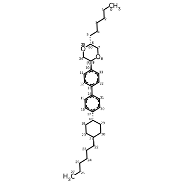 CCCCCC[C@@H]1CO[C@@H](c2ccc(-c3ccc([C@H]4CC[C@H](CCCCCC)CC4)cc3)cc2)CO1